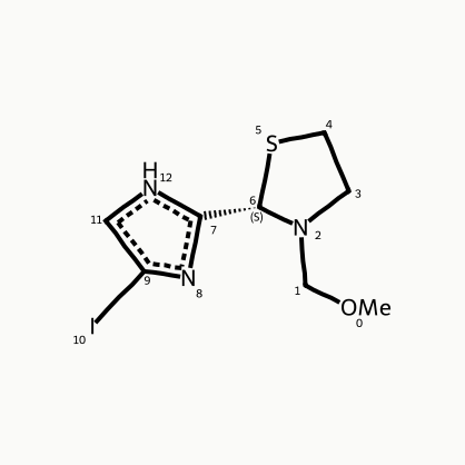 COCN1CCS[C@H]1c1nc(I)c[nH]1